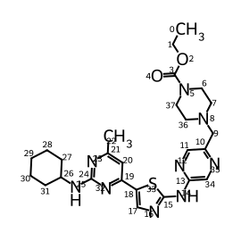 CCOC(=O)N1CCN(Cc2cnc(Nc3ncc(-c4cc(C)nc(NC5CCCCC5)n4)s3)cn2)CC1